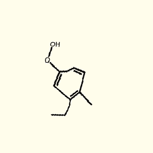 CCc1cc(OO)ccc1C